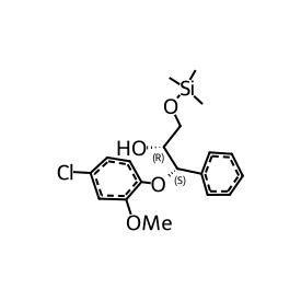 COc1cc(Cl)ccc1O[C@@H](c1ccccc1)[C@H](O)CO[Si](C)(C)C